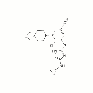 N#Cc1cc(Nc2nc(NC3CC3)c[nH]2)c(Cl)c(N2CCC3(CC2)COC3)c1